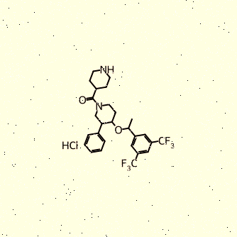 CC(OC1CCN(C(=O)C2CCNCC2)CC1c1ccccc1)c1cc(C(F)(F)F)cc(C(F)(F)F)c1.Cl